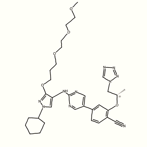 COCCOCCOCCCOc1nn(C2CCCCC2)cc1Nc1ncc(-c2ccc(C#N)c(O[C@@H](C)Cn3cnnn3)c2)cn1